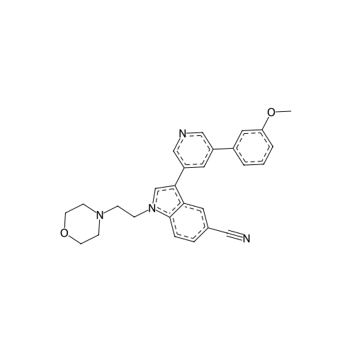 COc1cccc(-c2cncc(-c3cn(CCN4CCOCC4)c4ccc(C#N)cc34)c2)c1